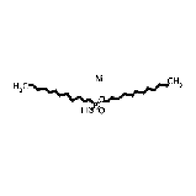 CCCCCCCCCCCCOP(=O)(O)CCCCCCCCCCCC.[Ni]